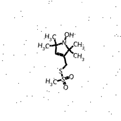 CC1(C)C=C(CSS(C)(=O)=O)C(C)(C)N1O